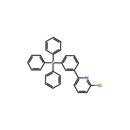 Brc1cccc(-c2cccc([Si](c3ccccc3)(c3ccccc3)c3ccccc3)c2)n1